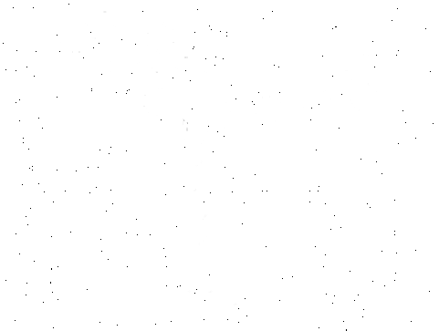 c1ccc([Si]2(c3ccccc3)c3cc(-c4cccc5ccccc45)ccc3-c3ccc(-n4c5ccc(-c6ccc(-c7ccc(-c8cccc9ccccc89)cc7)cc6)cc5c5cc(-c6ccc(-c7ccc(-c8cccc9ccccc89)cc7)cc6)ccc54)cc32)cc1